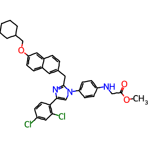 COC(=O)CNc1ccc(-n2cc(-c3ccc(Cl)cc3Cl)nc2Cc2ccc3cc(OCC4CCCCC4)ccc3c2)cc1